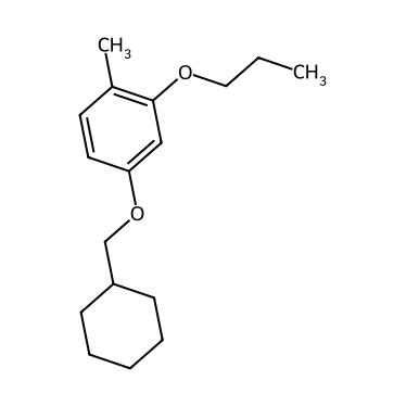 CCCOc1cc(OCC2CCCCC2)ccc1C